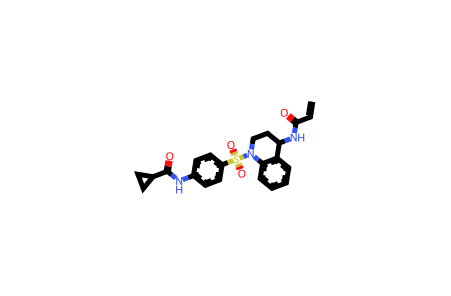 C=CC(=O)NC1CCN(S(=O)(=O)c2ccc(NC(=O)C3CC3)cc2)c2ccccc21